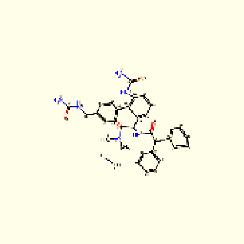 CI.CN(C)C(=O)C(NC(=O)C(c1ccccc1)c1ccccc1)c1cccc(NC(N)=S)c1-c1ccc(CNC(N)=O)cc1